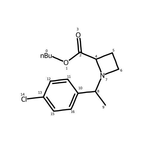 CCCCOC(=O)C1CCN1C(C)c1ccc(Cl)cc1